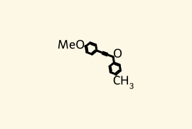 COc1ccc(C#CC(=O)c2ccc(C)cc2)cc1